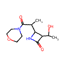 CC(O)C1C(=O)NC1C(C)C(=O)N1CCOCC1